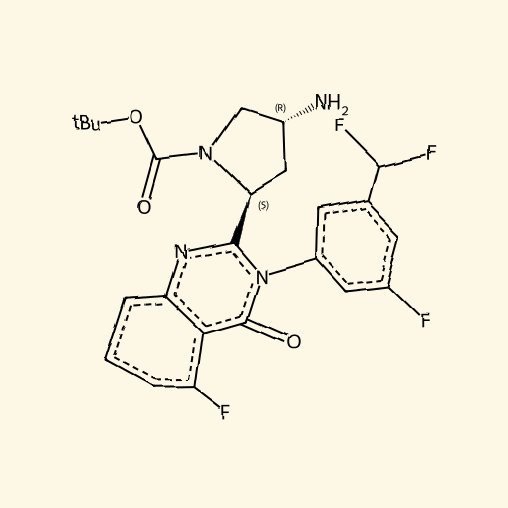 CC(C)(C)OC(=O)N1C[C@H](N)C[C@H]1c1nc2cccc(F)c2c(=O)n1-c1cc(F)cc(C(F)F)c1